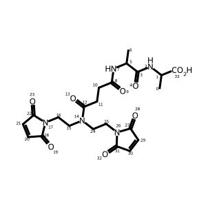 CC(NC(=O)C(C)NC(=O)CCC(=O)N(CCN1C(=O)C=CC1=O)CCN1C(=O)C=CC1=O)C(=O)O